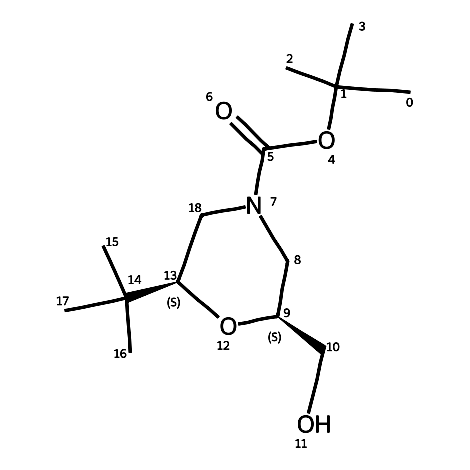 CC(C)(C)OC(=O)N1C[C@@H](CO)O[C@@H](C(C)(C)C)C1